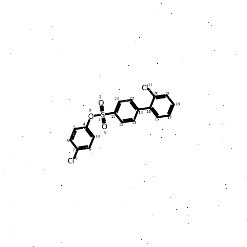 O=S(=O)(Oc1ccc(Cl)cc1)c1ccc(-c2ccccc2Cl)cc1